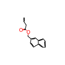 C=CCC(=O)OCc1ccc2ccccc2c1